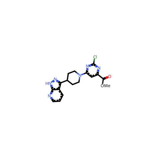 COC(=O)c1cc(N2CCC(c3n[nH]c4ncccc34)CC2)nc(Cl)n1